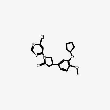 COc1ccc(C2CC(=O)N(c3cc(Cl)ncn3)C2)cc1OC1CCCC1